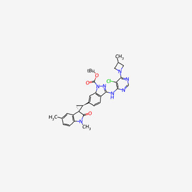 Cc1ccc2c(c1)[C@]1(C[C@H]1c1ccc3c(Nc4ncnc(N5CC(C)C5)c4Cl)nn(C(=O)OC(C)(C)C)c3c1)C(=O)N2C